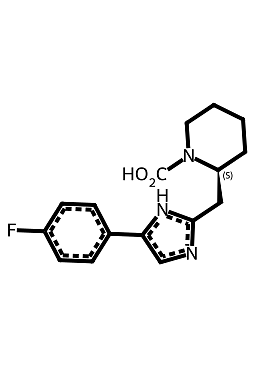 O=C(O)N1CCCC[C@H]1Cc1ncc(-c2ccc(F)cc2)[nH]1